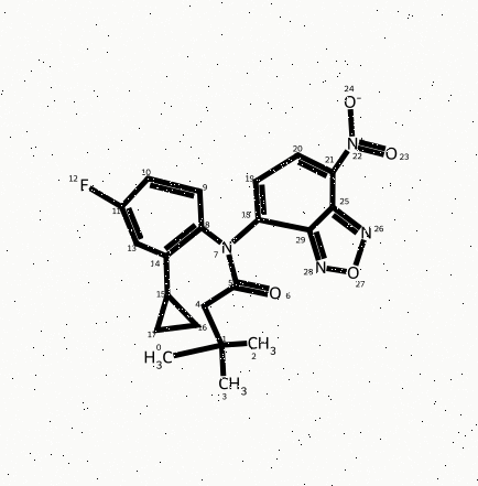 CC(C)(C)CC(=O)N(c1ccc(F)cc1C1CC1)c1ccc([N+](=O)[O-])c2nonc12